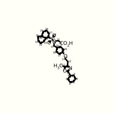 Cc1oc(-c2ccccc2)nc1CCOc1ccc(CN(CC(=O)O)S(=O)(=O)c2cccc3ccccc23)cc1